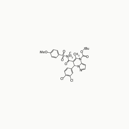 COc1ccc(S(=O)(=O)N(C)C(=O)C2=C(C)N(C(=O)OC(C)(C)C)c3ccnn3C2c2ccc(Cl)c(Cl)c2)cc1